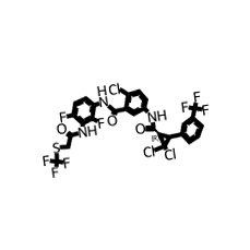 O=C(CSC(F)(F)F)Nc1c(F)ccc(NC(=O)c2cc(NC(=O)[C@H]3C(c4cccc(C(F)(F)F)c4)C3(Cl)Cl)ccc2Cl)c1F